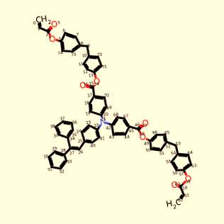 C=CC(=O)Oc1ccc(Cc2ccc(OC(=O)c3ccc(N(c4ccc(C=C(c5ccccc5)c5ccccc5)cc4)c4ccc(C(=O)Oc5ccc(Cc6ccc(OC(=O)C=C)cc6)cc5)cc4)cc3)cc2)cc1